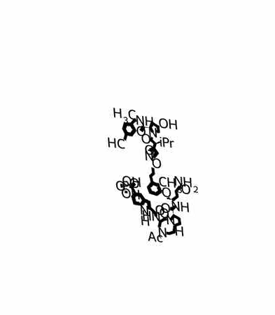 C#Cc1ccc([C@H](C)NC(=O)[C@@H]2C[C@@H](O)CN2C(=O)[C@H](c2cc(OCCCc3cccc(OC[C@H](CCC(N)=O)NC(=O)[C@@H]4CC[C@@H]5CCN(C(C)=O)C[C@H](NC(=O)c6cc7cc(C(=O)P(=O)(O)O)ccc7[nH]6)C(=O)N54)c3C)no2)C(C)C)cc1